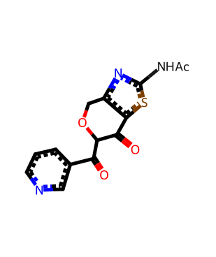 CC(=O)Nc1nc2c(s1)C(=O)C(C(=O)c1cccnc1)OC2